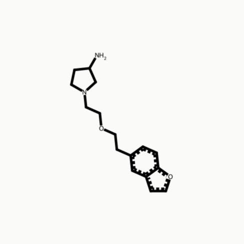 NC1CCN(CCOCCc2ccc3occc3c2)C1